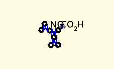 N#C/C(=C\c1ccc(N(c2ccc(N3C4=CC=CCC4c4ccccc43)cc2)c2ccc(-n3c4ccccc4c4ccccc43)cc2)cc1)C(=O)O